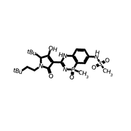 CC(C)(C)CCN1C(=O)C(C2=NP(C)(=O)c3cc(NS(C)(=O)=O)ccc3N2)=C(O)C1C(C)(C)C